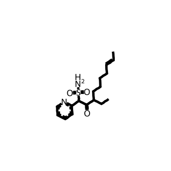 CC=CCCCCC(CC)C(=O)C(c1ccccn1)S(N)(=O)=O